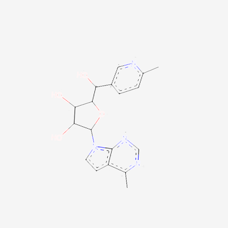 Cc1ccc(C(O)C2OC(n3ccc4c(C)ncnc43)C(O)C2O)cn1